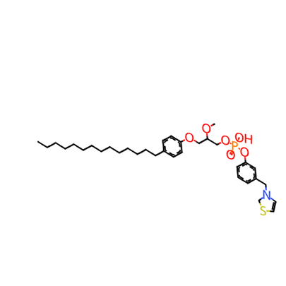 CCCCCCCCCCCCCCc1ccc(OCC(COP(=O)(O)Oc2cccc(CN3C=CSC3)c2)OC)cc1